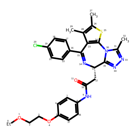 CCOCCOc1ccc(NC(=O)C[C@@H]2N=C(c3ccc(Cl)cc3)c3c(sc(C)c3C)-n3c(C)nnc32)cc1